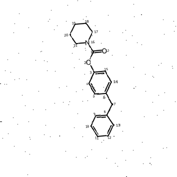 O=C(Oc1ccc(Cc2ccccc2)cc1)N1CCCCC1